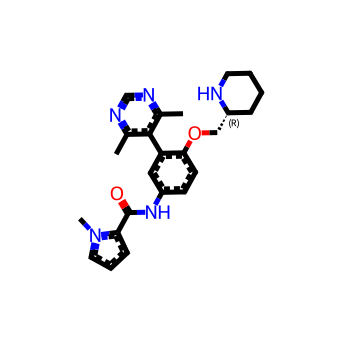 Cc1ncnc(C)c1-c1cc(NC(=O)c2cccn2C)ccc1OC[C@H]1CCCCN1